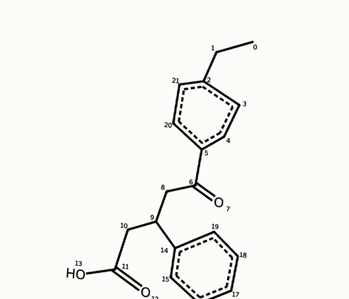 CCc1ccc(C(=O)CC(CC(=O)O)c2ccccc2)cc1